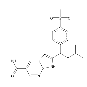 CNC(=O)C1=CC2C=C(C(CC(C)C)c3ccc(S(C)(=O)=O)cc3)NC2N=C1